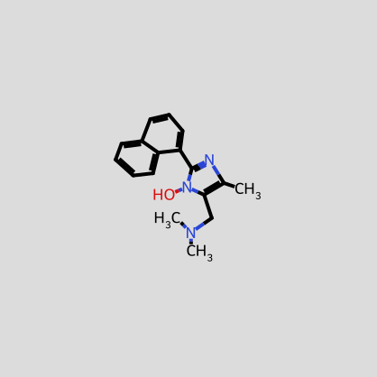 Cc1nc(-c2cccc3ccccc23)n(O)c1CN(C)C